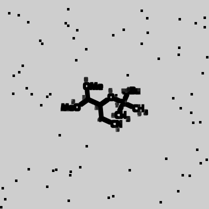 COC(OC)C(CC#N)O[Si](C)(C)C(C)(C)C